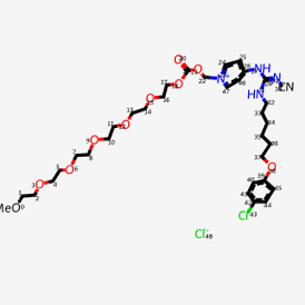 COCCOCCOCCOCCOCCOCCOC(=O)OC[n+]1ccc(NC(=NC#N)NCCCCCCOc2ccc(Cl)cc2)cc1.[Cl-]